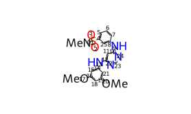 CNS(=O)(=O)c1cccc(Nc2cc(Nc3cc(OC)cc(OC)c3)ncn2)c1